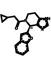 O=C(CC1CC1)N1CCc2[nH]cnc2[C@H]1c1cc2ccccc2o1